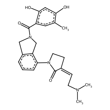 Cc1cc(C(=O)N2Cc3cccc(N4CCC(=CCN(C)C)C4=O)c3C2)c(O)cc1O